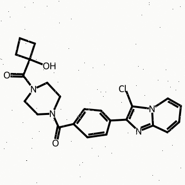 O=C(c1ccc(-c2nc3ccccn3c2Cl)cc1)N1CCN(C(=O)C2(O)CCC2)CC1